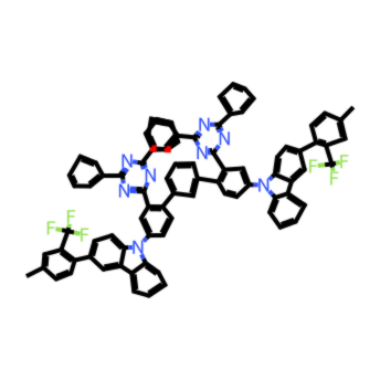 Cc1ccc(-c2ccc3c(c2)c2ccccc2n3-c2ccc(-c3cccc(-c4ccc(-n5c6ccccc6c6cc(-c7ccc(C)cc7C(F)(F)F)ccc65)cc4-c4nc(-c5ccccc5)nc(-c5ccccc5)n4)c3)c(-c3nc(-c4ccccc4)nc(-c4ccccc4)n3)c2)c(C(F)(F)F)c1